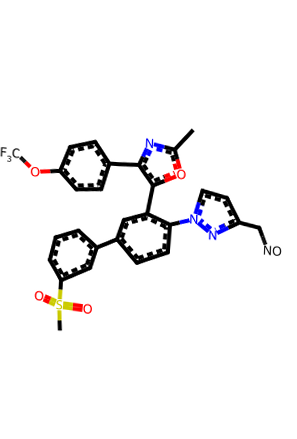 Cc1nc(-c2ccc(OC(F)(F)F)cc2)c(-c2cc(-c3cccc(S(C)(=O)=O)c3)ccc2-n2ccc(CN=O)n2)o1